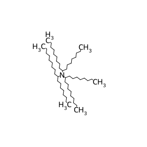 CCCCCCCCCC(CCCCCCCC)N(C(CCCCCCCC)CCCCCCCCC)C(CCCCCCCC)CCCCCCCCC